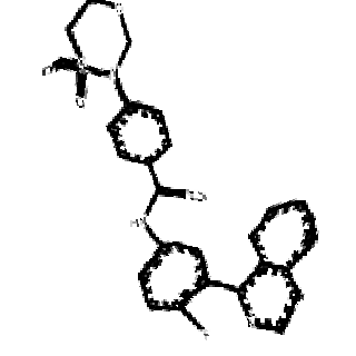 O=C(Nc1ccc(F)c(-c2nccc3ccccc23)c1)c1ccc(N2COCCS2(=O)=O)cc1